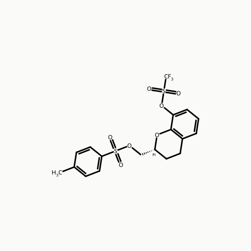 Cc1ccc(S(=O)(=O)OC[C@H]2CCc3cccc(OS(=O)(=O)C(F)(F)F)c3O2)cc1